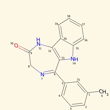 Cc1cccc(C2=NCC(=O)Nc3c2[nH]c2ccccc32)c1